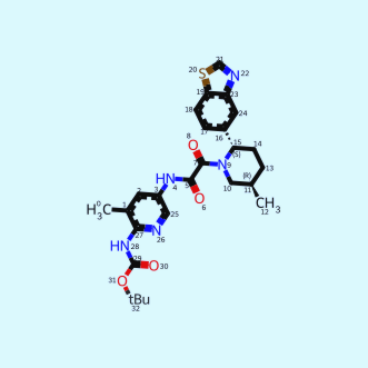 Cc1cc(NC(=O)C(=O)N2C[C@H](C)CC[C@H]2c2ccc3scnc3c2)cnc1NC(=O)OC(C)(C)C